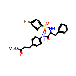 COC(=O)CCc1ccc(NC(=O)C(Cc2ccccc2)NS(=O)(=O)c2ccc(Br)cc2)cc1